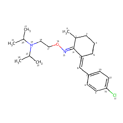 CC1CCCC(=C\c2ccc(Cl)cc2)/C1=N/OCCN(C(C)C)C(C)C